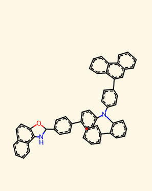 c1ccc(-c2ccccc2N(c2ccc(-c3ccc(C4Nc5c(ccc6ccccc56)O4)cc3)cc2)c2ccc(-c3cc4ccccc4c4ccccc34)cc2)cc1